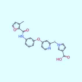 Cc1ccoc1C(=O)Nc1cccc(Oc2ccnc([CH]n3ccc(C(=O)O)c3)c2)c1